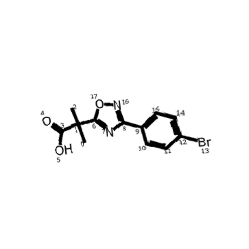 CC(C)(C(=O)O)c1nc(-c2ccc(Br)cc2)no1